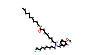 CCCCCCCCCOC(=O)CCCCCCCN(CCCCCCCC=O)Cc1ccc(OC)cc1